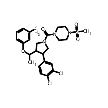 Cc1cccc(OC(C)C2CN(C(=O)N3CCN(S(C)(=O)=O)CC3)CC2c2ccc(Cl)c(Cl)c2)c1